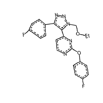 CCOCn1nnc(-c2ccc(F)cc2)c1-c1ccnc(Oc2ccc(F)cc2)n1